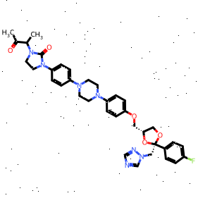 CC(=O)C(C)N1CCN(c2ccc(N3CCN(c4ccc(OC[C@@H]5CO[C@@](Cn6cncn6)(c6ccc(F)cc6)O5)cc4)CC3)cc2)C1=O